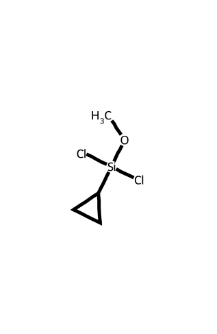 CO[Si](Cl)(Cl)C1CC1